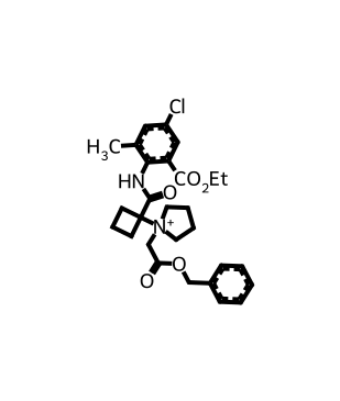 CCOC(=O)c1cc(Cl)cc(C)c1NC(=O)C1([N+]2(CC(=O)OCc3ccccc3)CCCC2)CCC1